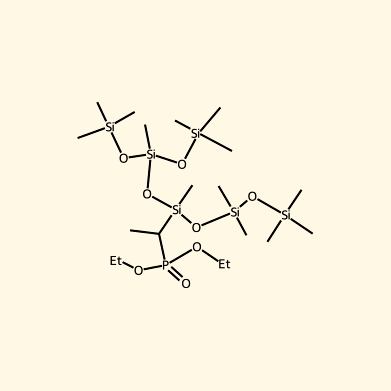 CCOP(=O)(OCC)C(C)[Si](C)(O[Si](C)(C)O[Si](C)(C)C)O[Si](C)(O[Si](C)(C)C)O[Si](C)(C)C